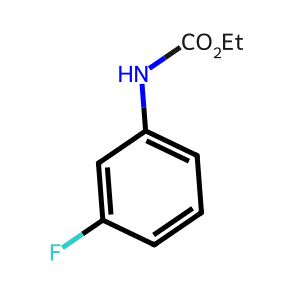 CCOC(=O)Nc1cccc(F)c1